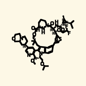 CO[C@@H](C)c1ncc([C@@H]2CCN3CCOCC3C2)cc1-c1c2c3cc(ccc3n1CCOC(C)C)-c1csc(n1)[C@@H](OCC(F)F)[C@H](NC(=O)[C@@H]1[C@@H](C)[C@H]1C(C)C)C(=O)N1CCC[C@H](N1)C(=O)OCC(C)(C)C2